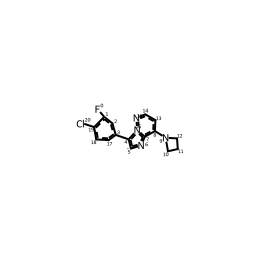 Fc1cc(-c2[c]nc3c(N4CCC4)ccnn23)ccc1Cl